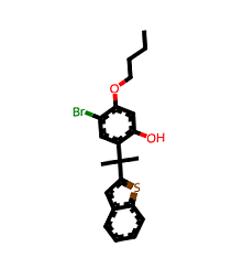 CCCCOc1cc(O)c(C(C)(C)c2cc3ccccc3s2)cc1Br